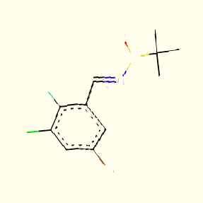 CC(C)(C)[S+]([O-])/N=C/c1cc(Br)cc(Cl)c1F